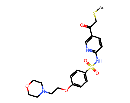 CC(=O)SCC(=O)c1ccc(NS(=O)(=O)c2ccc(OCCN3CCOCC3)cc2)nc1